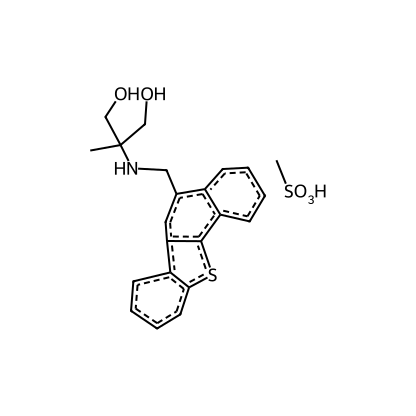 CC(CO)(CO)NCc1cc2c3ccccc3sc2c2ccccc12.CS(=O)(=O)O